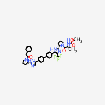 COC(=O)N[C@@H](C)C(=O)N1CCC[C@H]1c1nc(C(F)(F)F)c(-c2ccc(-c3ccc(-c4cnc([C@@H]5CCCN5C(=O)Cc5ccccc5)[nH]4)cc3)cc2)[nH]1